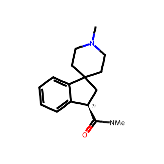 CNC(=O)[C@@H]1CC2(CCN(C)CC2)c2ccccc21